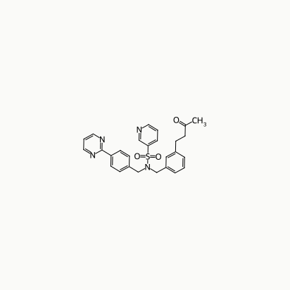 CC(=O)CCc1cccc(CN(Cc2ccc(-c3ncccn3)cc2)S(=O)(=O)c2cccnc2)c1